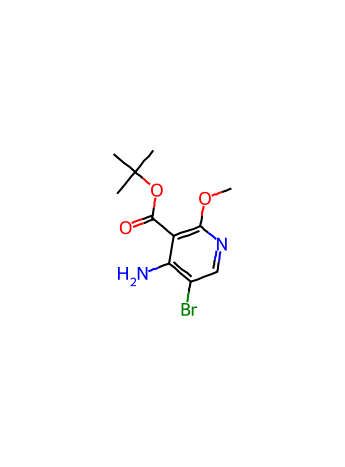 COc1ncc(Br)c(N)c1C(=O)OC(C)(C)C